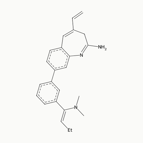 C=CC1=Cc2ccc(-c3cccc(/C(=C/CC)N(C)C)c3)cc2N=C(N)C1